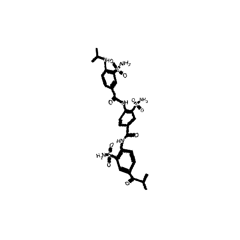 CC(C)Nc1ccc(C(=O)Nc2ccc(C(=O)Nc3ccc(C(=O)C(C)C)cc3S(N)(=O)=O)cc2S(N)(=O)=O)cc1S(N)(=O)=O